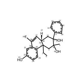 CCC12CC(C)(O)C(O)(c3ccccc3)C[C@H]1C=C(F)c1cc(O)ccc12